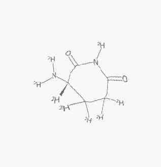 [2H]N1C(=O)C([2H])([2H])C([2H])([2H])[C@]([2H])(N([2H])[2H])C1=O